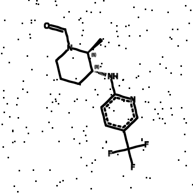 C[C@H]1[C@H](Nc2ccc(C(F)(F)F)cn2)CCCN1C=O